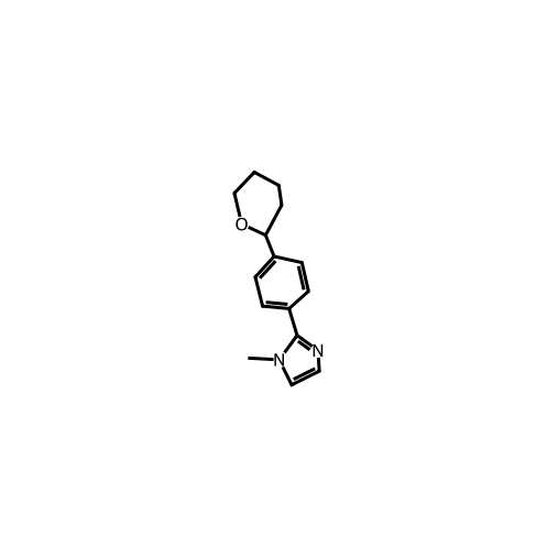 Cn1ccnc1-c1ccc(C2CCCCO2)cc1